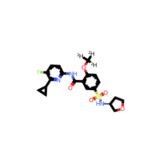 [2H]C([2H])([2H])Oc1ccc(S(=O)(=O)N[C@H]2CCOC2)cc1C(=O)Nc1ccc(F)c(C2CC2)n1